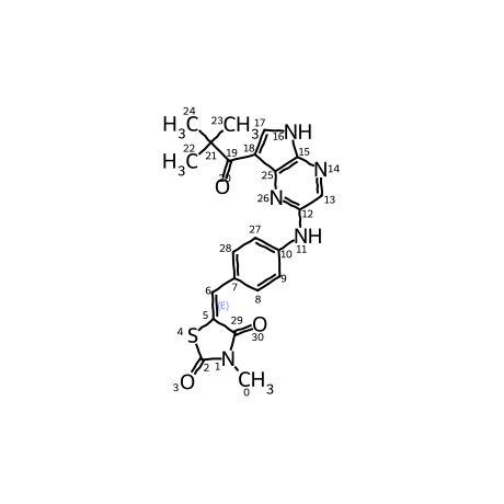 CN1C(=O)S/C(=C/c2ccc(Nc3cnc4[nH]cc(C(=O)C(C)(C)C)c4n3)cc2)C1=O